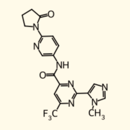 Cn1cncc1-c1nc(C(=O)Nc2ccc(N3CCCC3=O)nc2)cc(C(F)(F)F)n1